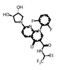 CC[C@H](NC(=O)c1cn(-c2c(F)cccc2F)c2nc(N3C[C@@H](O)[C@H](O)C3)ccc2c1=O)C(F)(F)F